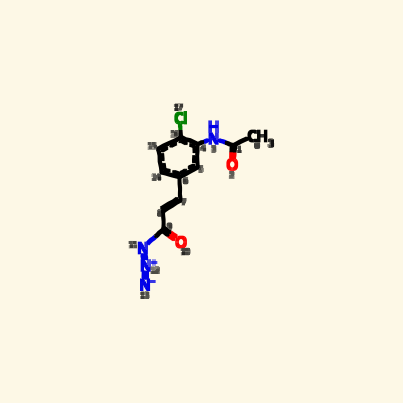 CC(=O)Nc1cc(/C=C/C(=O)N=[N+]=[N-])ccc1Cl